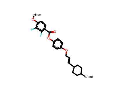 CCCCCCCCCOc1ccc(C(=O)Oc2ccc(OC/C=C/C3CCC(CCCCC)CC3)cc2)c(F)c1F